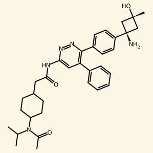 CC(=O)N(C(C)C)C1CCC(CC(=O)Nc2cc(-c3ccccc3)c(-c3ccc([C@]4(N)C[C@](C)(O)C4)cc3)nn2)CC1